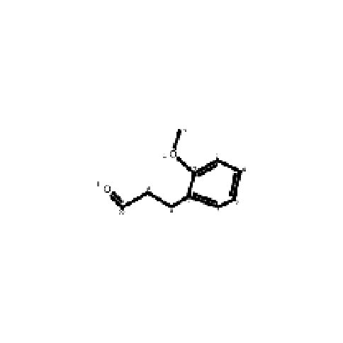 COc1ccccc1CCC=O